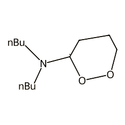 CCCCN(CCCC)[C]1CCCOO1